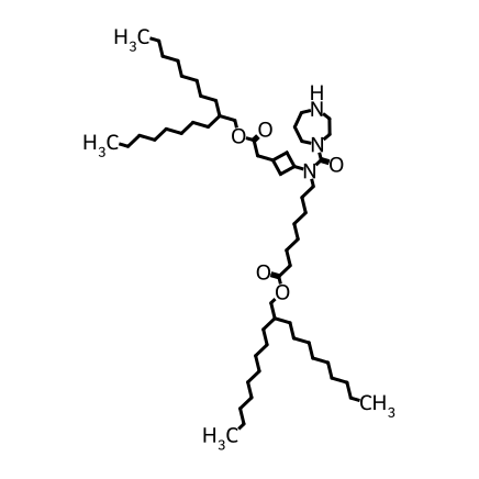 CCCCCCCCCC(CCCCCCCCC)COC(=O)CCCCCCCN(C(=O)N1CCCNCC1)C1CC(CC(=O)OCC(CCCCCCCC)CCCCCCCC)C1